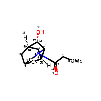 COCC(=O)N1CC2C[C@H]3C[C@@H](C2)[C@H](O)C31